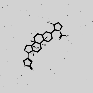 C[C@]12CCC(C3[C@@H](O)CCN3C(=O)O)CC1CC[C@@H]1[C@@H]2CC[C@]2(C)[C@@H](C3=CC(=O)OC3)CC[C@]12O